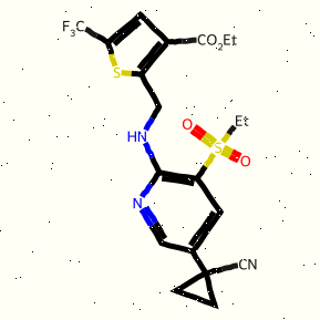 CCOC(=O)c1cc(C(F)(F)F)sc1CNc1ncc(C2(C#N)CC2)cc1S(=O)(=O)CC